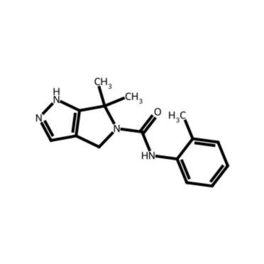 Cc1ccccc1NC(=O)N1Cc2cn[nH]c2C1(C)C